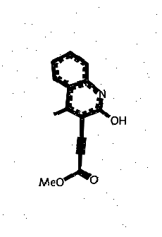 COC(=O)C#Cc1c(O)nc2ccccc2c1C